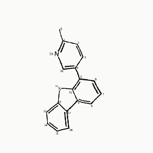 Cc1ccc(-c2cccc3c2sc2ccccc23)cn1